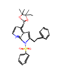 CC1(C)OB(c2ccnc3c2cc(Cc2ccccc2)n3S(=O)(=O)c2ccccc2)OC1(C)C